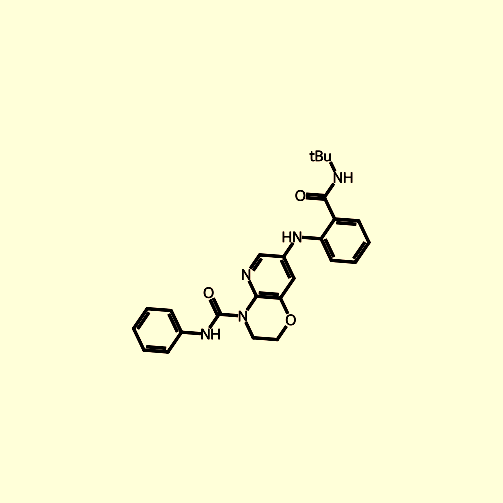 CC(C)(C)NC(=O)c1ccccc1Nc1cnc2c(c1)OCCN2C(=O)Nc1ccccc1